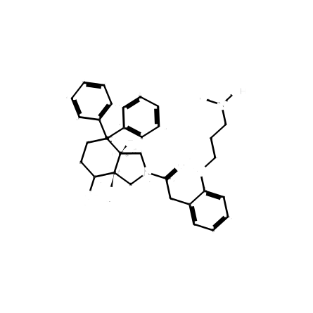 CN(C)CCCOc1ccccc1CC(=O)N1C[C@@H]2C(O)CCC(c3ccccc3)(c3ccccc3)[C@@H]2C1